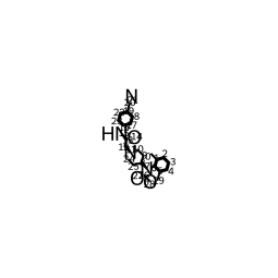 Cc1cccc2c1N(C1CCN(CC(=O)Nc3ccc(C#N)cc3)CC1)C(=O)OC2